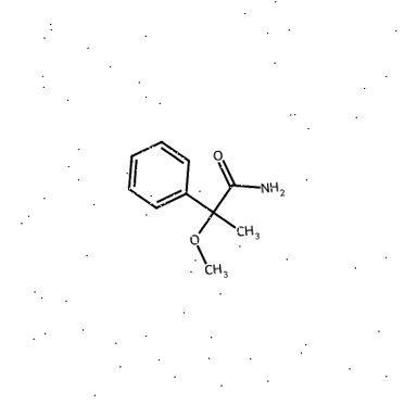 COC(C)(C(N)=O)c1ccccc1